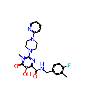 Cc1cc(CNC(=O)c2nc(N3CCN(c4ccccn4)CC3)n(C)c(=O)c2O)ccc1F